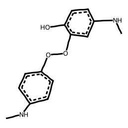 CNc1ccc(OOc2cc(NC)ccc2O)cc1